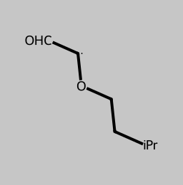 CC(C)CCO[CH]C=O